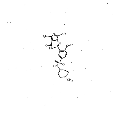 CCCc1nc(C)c2c(=O)[nH]c(-c3cc(S(=O)(=O)NN4CCN(C)CC4)ccc3OCC)nn12